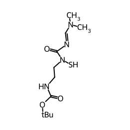 CN(C)C=NC(=O)N(S)CCNC(=O)OC(C)(C)C